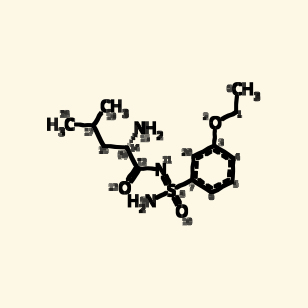 CCOc1cccc(S(N)(=O)=NC(=O)[C@@H](N)CC(C)C)c1